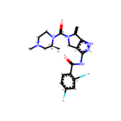 C=C1c2[nH]nc(NC(=O)c3ccc(F)cc3F)c2CN1C(=O)N1CCN(C)C[C@@H]1C